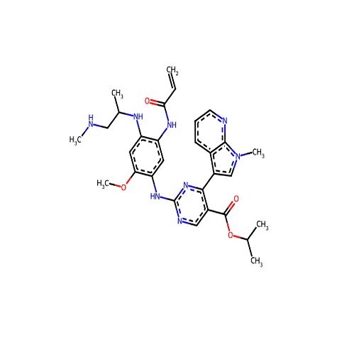 C=CC(=O)Nc1cc(Nc2ncc(C(=O)OC(C)C)c(-c3cn(C)c4ncccc34)n2)c(OC)cc1NC(C)CNC